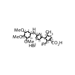 Br.COc1cc(Nc2nc(-c3c(C)sc(C(=O)O)c3C(C)C)cs2)cc(OC)c1OC